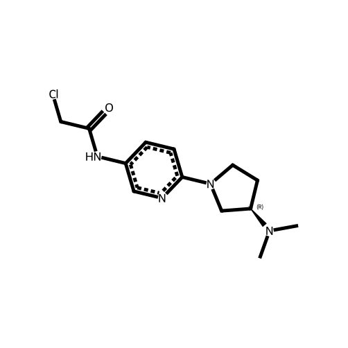 CN(C)[C@@H]1CCN(c2ccc(NC(=O)CCl)cn2)C1